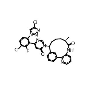 C[C@@H]1CCC[C@H](n2cnc(-c3c(-n4cc(Cl)nn4)ccc(Cl)c3F)cc2=O)c2cccc(c2)-c2ncccc2NC1=O